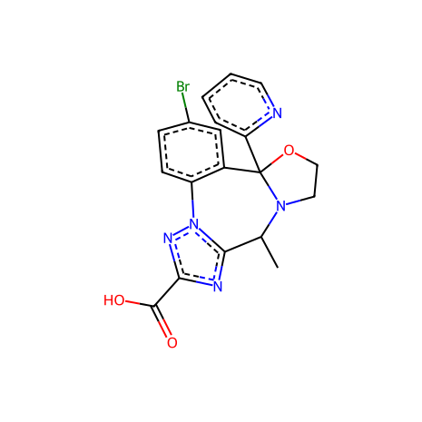 CC1c2nc(C(=O)O)nn2-c2ccc(Br)cc2C2(c3ccccn3)OCCN12